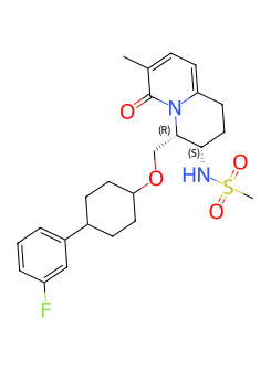 Cc1ccc2n(c1=O)[C@@H](COC1CCC(c3cccc(F)c3)CC1)[C@@H](NS(C)(=O)=O)CC2